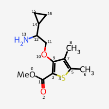 COC(=O)c1sc(C)c(C)c1OCC(N)C1CC1